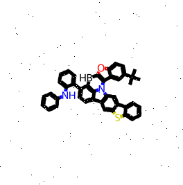 CC(C)(C)c1ccc2oc3c(c2c1)-n1c2cc4c(cc2c2ccc(-c5ccccc5Nc5ccccc5)c(c21)B3)sc1ccccc14